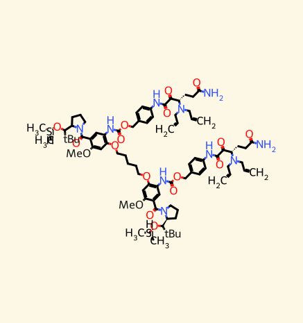 C=CCN(CC=C)[C@@H](CCC(N)=O)C(=O)C(=O)Nc1ccc(COC(=O)Nc2cc(C(=O)N3CCCC3C(O[SiH](C)C)C(C)(C)C)c(OC)cc2OCCCCCOc2cc(OC)c(C(=O)N3CCC[C@H]3C(O[SiH](C)C)C(C)(C)C)cc2NC(=O)OCc2ccc(NC(=O)C(=O)[C@H](CCC(N)=O)N(CC=C)CC=C)cc2)cc1